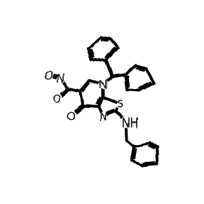 O=NC(=O)c1cn(C(c2ccccc2)c2ccccc2)c2sc(NCc3ccccc3)nc2c1=O